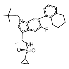 C[C@@H](NS(=O)(=O)C1CC1)c1cn(CC(C)(C)C)c2cc(-c3cccc4c3CCCC4)c(F)cc12